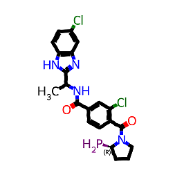 CC(NC(=O)c1ccc(C(=O)N2CCC[C@H]2P)c(Cl)c1)c1nc2cc(Cl)ccc2[nH]1